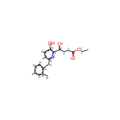 CCOC(=O)CCC(=O)c1nc(Cc2ccccc2C)ccc1O